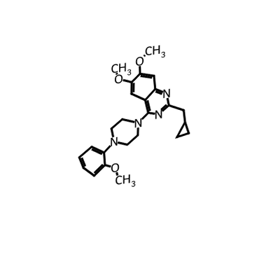 COc1cc2nc(CC3CC3)nc(N3CCN(c4ccccc4OC)CC3)c2cc1OC